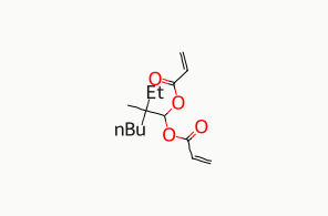 C=CC(=O)OC(OC(=O)C=C)C(C)(CC)CCCC